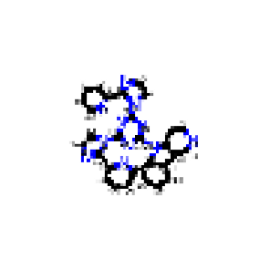 c1ccc(-c2nccn2-c2nc(-n3ccnc3-c3ccccn3)nc(-n3c4ccccc4c4cnccc43)n2)nc1